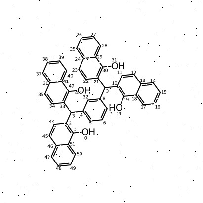 Oc1c(C(c2cccc(C(c3ccc4ccccc4c3O)c3ccc4ccccc4c3O)c2)c2ccc3ccccc3c2O)ccc2ccccc12